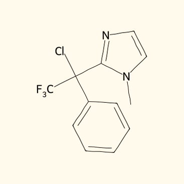 Cn1ccnc1C(Cl)(c1ccccc1)C(F)(F)F